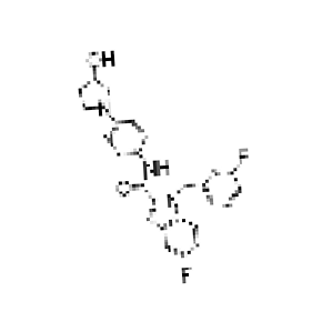 O=C(Nc1ccc(N2CCC(O)C2)nc1)c1cc2cc(F)ccc2n1Cc1cccc(F)c1